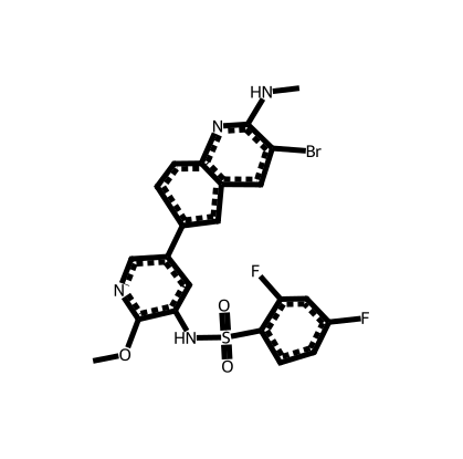 CNc1nc2ccc(-c3cnc(OC)c(NS(=O)(=O)c4ccc(F)cc4F)c3)cc2cc1Br